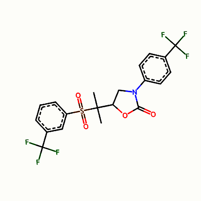 CC(C)(C1CN(c2ccc(C(F)(F)F)cc2)C(=O)O1)S(=O)(=O)c1cccc(C(F)(F)F)c1